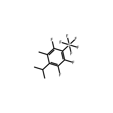 Cc1c(F)c(S(F)(F)(F)(F)F)c(F)c(F)c1C(C)C